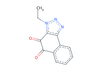 CCn1nnc2c1C(=O)C(=O)c1ccccc1-2